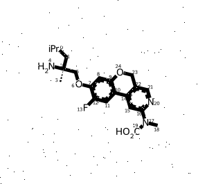 CC(C)C[C@](C)(N)COc1cc2c(cc1F)-c1cc(N(C)C(=O)O)ncc1CO2